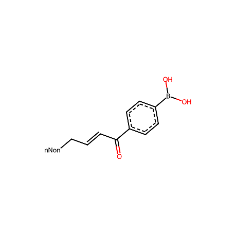 CCCCCCCCCC/C=C/C(=O)c1ccc(B(O)O)cc1